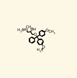 COc1ccc(C(OCC(O)C[As](C)C)(c2ccccc2)c2ccc(OC)cc2)cc1